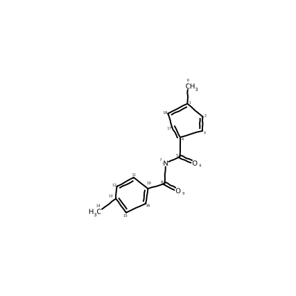 Cc1ccc(C(=O)[N]C(=O)c2ccc(C)cc2)cc1